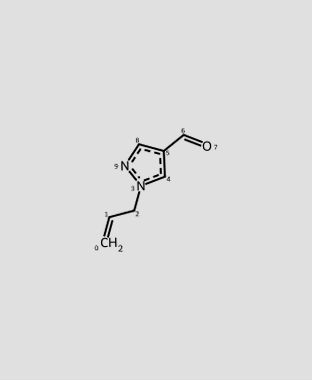 C=CCn1cc(C=O)cn1